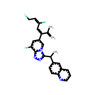 C=C(C)/C(=C\C(F)=C/CF)c1cc(F)c2nnc(C(C)c3ccc4ncccc4c3)n2c1